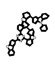 c1ccc(-c2nc(-c3ccc4oc5ccccc5c4c3)nc(-c3cccc4oc5ccc(-c6ccc7sc8cccc(-c9ccc%10c(c9)c9ccccc9n%10-c9ccccc9)c8c7c6)cc5c34)n2)cc1